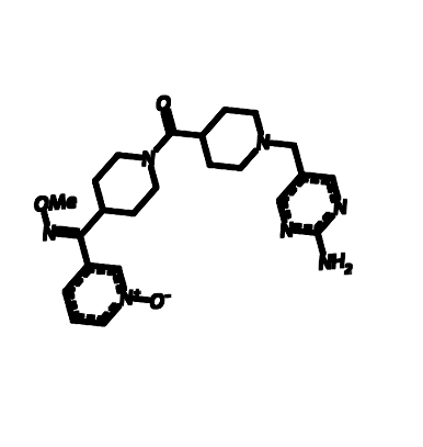 CON=C(c1ccc[n+]([O-])c1)C1CCN(C(=O)C2CCN(Cc3cnc(N)nc3)CC2)CC1